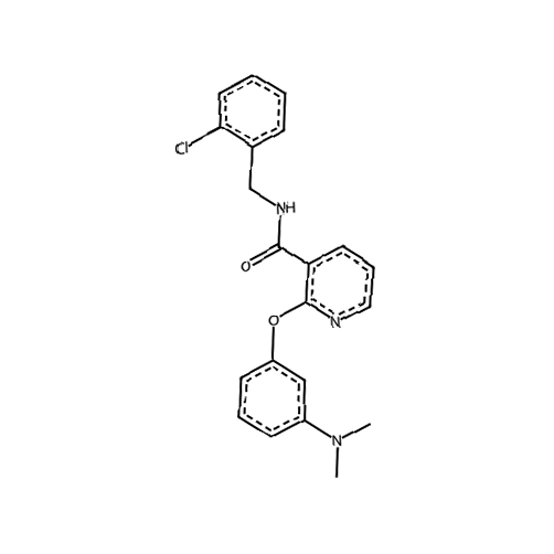 CN(C)c1cccc(Oc2ncccc2C(=O)NCc2ccccc2Cl)c1